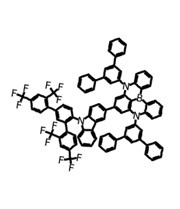 FC(F)(F)c1ccc(-c2ccc(-n3c4ccccc4c4cc(-c5cc6c7c(c5)N(c5cc(-c8ccccc8)cc(-c8ccccc8)c5)c5ccccc5B7c5ccccc5N6c5cc(-c6ccccc6)cc(-c6ccccc6)c5)ccc43)c(-c3ccc(C(F)(F)F)cc3C(F)(F)F)c2)c(C(F)(F)F)c1